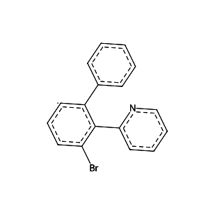 Brc1cc[c]c(-c2ccccc2)c1-c1ccccn1